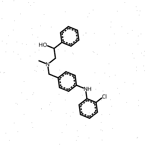 CN(Cc1ccc(Nc2ccccc2Cl)cc1)CC(O)c1ccccc1